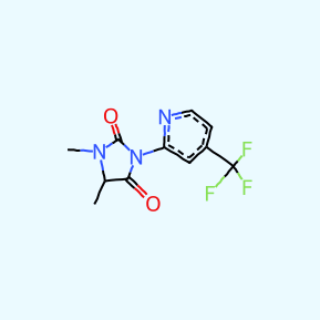 CC1C(=O)N(c2cc(C(F)(F)F)ccn2)C(=O)N1C